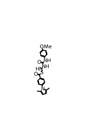 COc1ccc(NC(=O)NNSC(=O)c2ccc(-n3c(C)ccc3C)cc2)cc1